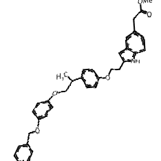 COC(=O)Cc1ccc2[nH]c(CCOc3ccc(C(C)COc4ccc(OCc5ccccc5)cc4)cc3)cc2c1